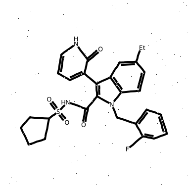 CCc1ccc2c(c1)c(-c1ccc[nH]c1=O)c(C(=O)NS(=O)(=O)C1CCCC1)n2Cc1ccccc1F